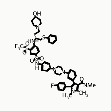 CNC(=O)c1c(-c2cccc(N3CCN(c4ccc(NS(=O)(=O)c5ccc(N[C@H](CCN6CCC(O)CC6)CSc6ccccc6)c(S(=O)(=O)C(F)(F)F)c5)cc4)CC3)c2)c(-c2ccc(F)cc2)n(C)c1C